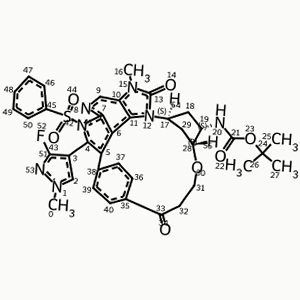 Cn1cc(-c2c3c4c(ncc5c4n(c(=O)n5C)[C@H]4C[C@H](NC(=O)OC(C)(C)C)[C@@H](C4)OCCC(=O)c4ccc-3cc4)n2S(=O)(=O)c2ccccc2)c(F)n1